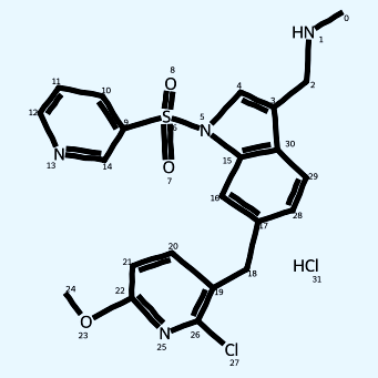 CNCc1cn(S(=O)(=O)c2cccnc2)c2cc(Cc3ccc(OC)nc3Cl)ccc12.Cl